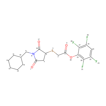 O=C(CSC1CC(=O)N(CC2CCCCC2)C1=O)Oc1c(F)c(F)cc(F)c1F